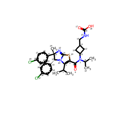 CC(C)C1=C(C(=O)N(C(C)C)C2CC(CNC(=O)O)C2)SC2=N[C@@](C)(c3ccc(Cl)cc3)[C@@H](c3ccc(Cl)cc3)N21